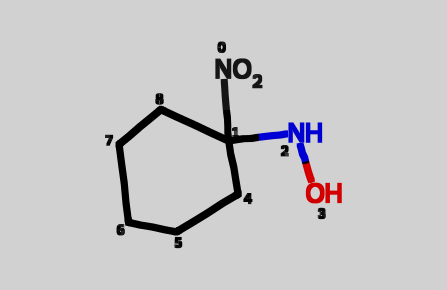 O=[N+]([O-])C1(NO)CCCCC1